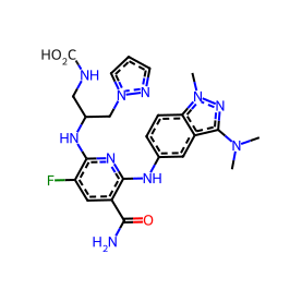 CN(C)c1nn(C)c2ccc(Nc3nc(NC(CNC(=O)O)Cn4cccn4)c(F)cc3C(N)=O)cc12